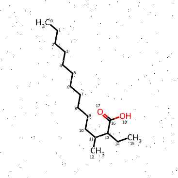 CCCCCCCCCCCC(C)C(CC)C(=O)O